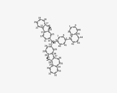 c1ccc2c(-c3ccc(N(c4ccc5c(c4)sc4ccccc45)c4ccc5sc6c7ccccc7ccc6c5c4)cc3)cccc2c1